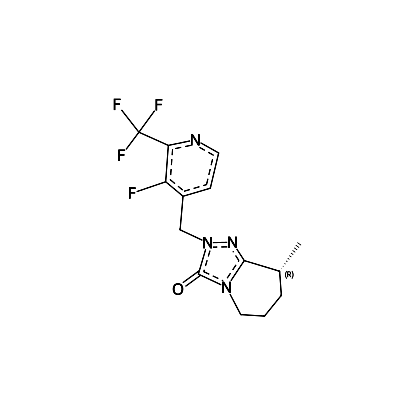 C[C@@H]1CCCn2c1nn(Cc1ccnc(C(F)(F)F)c1F)c2=O